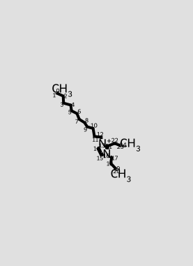 CCCCCCCCCCCCC[n+]1ccn(CCCC)c1CCC